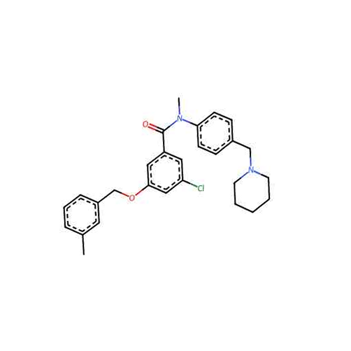 Cc1cccc(COc2cc(Cl)cc(C(=O)N(C)c3ccc(CN4CCCCC4)cc3)c2)c1